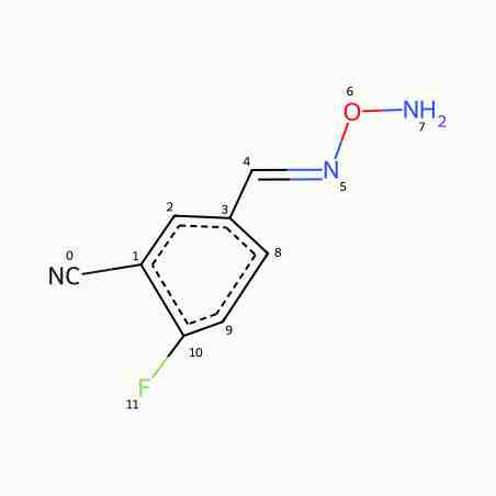 N#Cc1cc(C=NON)ccc1F